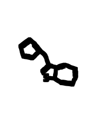 C1=CC=C2C(Cc3ccccc3)=CSC2C=C1